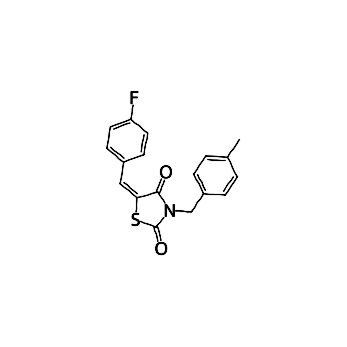 Cc1ccc(CN2C(=O)SC(=Cc3ccc(F)cc3)C2=O)cc1